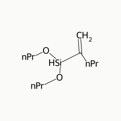 C=C(CCC)[SiH](OCCC)OCCC